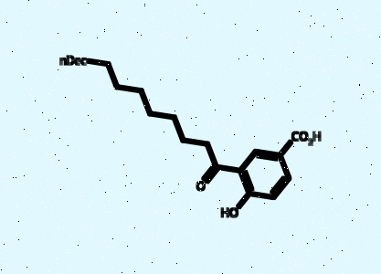 CCCCCCCCCCCCCCCCCC(=O)c1cc(C(=O)O)ccc1O